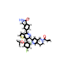 C=CC(=O)N1CCc2cnc(-c3nc(-c4ccc5c(c4)CNC5=O)c4ccsc4c3-c3c(F)cc(F)cc3OC(C)C)cc2C1